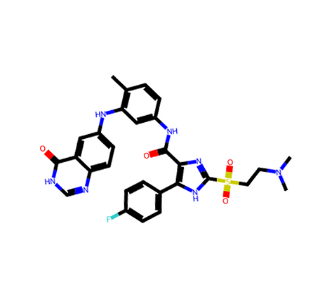 Cc1ccc(NC(=O)c2nc(S(=O)(=O)CCN(C)C)[nH]c2-c2ccc(F)cc2)cc1Nc1ccc2nc[nH]c(=O)c2c1